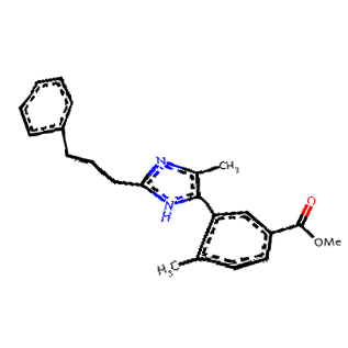 COC(=O)c1ccc(C)c(-c2[nH]c(CCCc3ccccc3)nc2C)c1